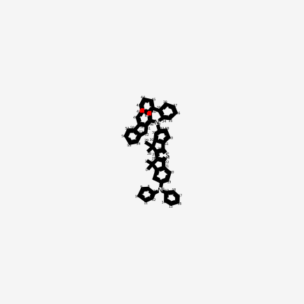 CC1(C)c2cc(N(c3ccccc3)c3ccccc3)ccc2-c2sc3c(c21)C(C)(C)c1cc(N(c2ccccc2-c2ccccc2)c2cccc4c2Cc2ccccc2-4)ccc1-3